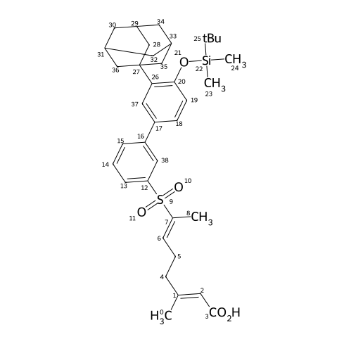 CC(=CC(=O)O)CCC=C(C)S(=O)(=O)c1cccc(-c2ccc(O[Si](C)(C)C(C)(C)C)c(C34CC5CC(CC(C5)C3)C4)c2)c1